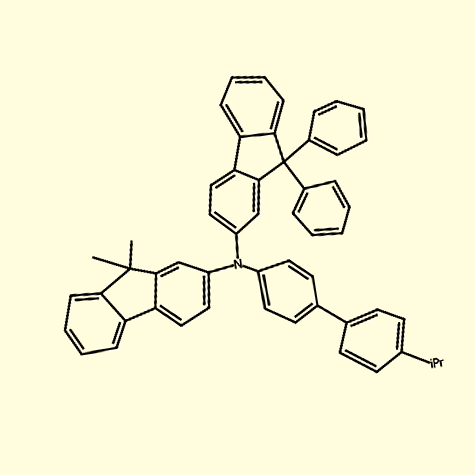 CC(C)c1ccc(-c2ccc(N(c3ccc4c(c3)C(C)(C)c3ccccc3-4)c3ccc4c(c3)C(c3ccccc3)(c3ccccc3)c3ccccc3-4)cc2)cc1